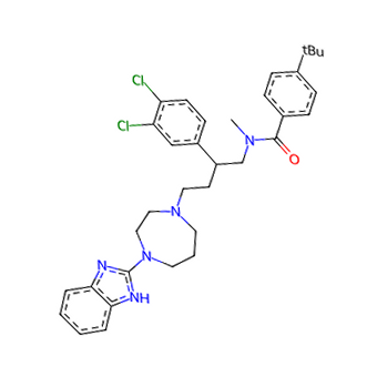 CN(CC(CCN1CCCN(c2nc3ccccc3[nH]2)CC1)c1ccc(Cl)c(Cl)c1)C(=O)c1ccc(C(C)(C)C)cc1